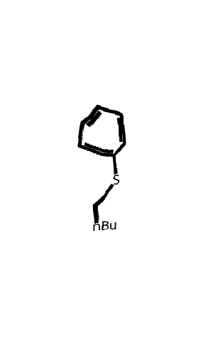 CCCCCSc1ccccc1